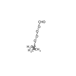 CB(C)N(C)SCCOCCOCCOCCOCCC=O